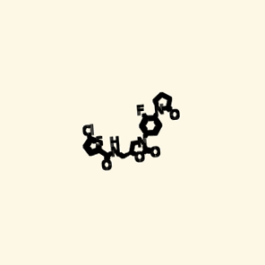 O=C(NC[C@H]1CN(c2ccc(N3CCCC3=O)c(F)c2)C(=O)O1)c1ccc(Cl)s1